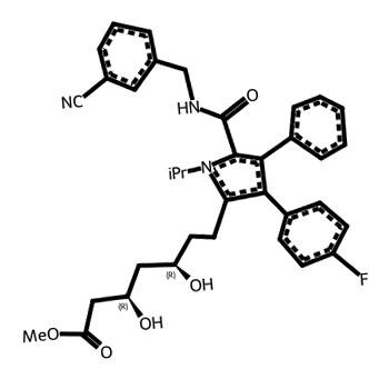 COC(=O)C[C@H](O)C[C@H](O)CCc1c(-c2ccc(F)cc2)c(-c2ccccc2)c(C(=O)NCc2cccc(C#N)c2)n1C(C)C